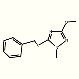 COc1nc(SCc2ccccc2)n(C)n1